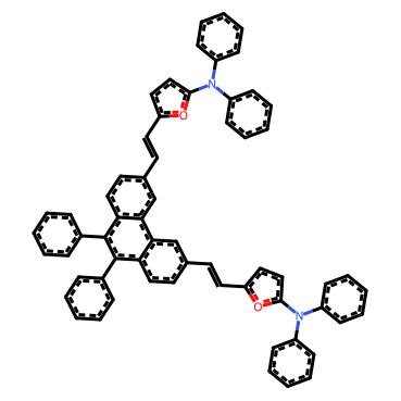 C(=C\c1ccc(N(c2ccccc2)c2ccccc2)o1)/c1ccc2c(-c3ccccc3)c(-c3ccccc3)c3ccc(/C=C/c4ccc(N(c5ccccc5)c5ccccc5)o4)cc3c2c1